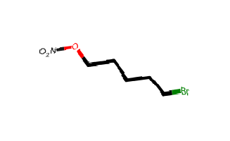 O=[N+]([O-])OCCCCCBr